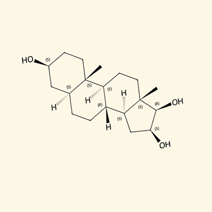 C[C@]12CC[C@H](O)C[C@@H]1CC[C@@H]1[C@@H]2CC[C@]2(C)[C@@H](O)[C@@H](O)C[C@@H]12